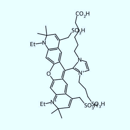 CCN1c2cc3c(cc2C(CS(=O)(=O)O)=CC1(C)C)C(c1n(CCCCCC(=O)O)cc[n+]1CCCS(=O)(=O)O)=c1cc2c(cc1O3)=[N+](CC)C(C)(C)C=C2CS(=O)(=O)O